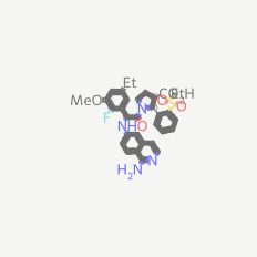 CCc1cc(OC)c(F)c([C@H](Nc2ccc3c(N)nccc3c2)C(=O)N2CC[C@H](C(=O)O)[C@@H]2c2ccccc2S(=O)(=O)CC)c1